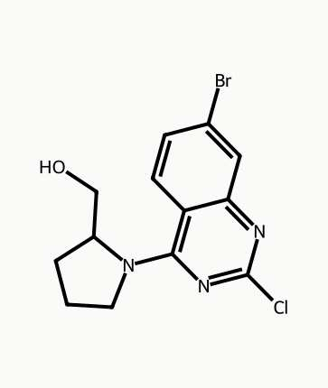 OCC1CCCN1c1nc(Cl)nc2cc(Br)ccc12